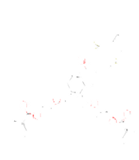 C=C1CSCC(CC(=O)c2ccc(COCCOC(=O)C(=C)C)c(COCCOC(=O)C(=C)C)c2)CSC1